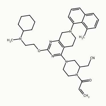 C=CC(=O)N1CCN(c2nc(OCCN(C)C3CCCCC3)nc3c2CCN(c2cccc4cccc(C)c24)C3)CC1CC#N